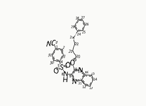 N#Cc1ccc(S(=O)(=O)Nc2nc3ccccc3nc2OCCCCc2ccccc2)cc1